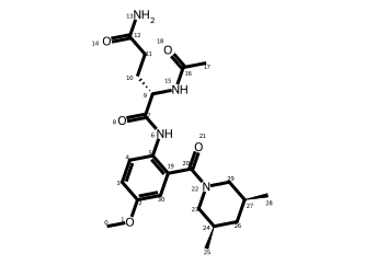 COc1ccc(NC(=O)[C@H](CCC(N)=O)NC(C)=O)c(C(=O)N2C[C@H](C)C[C@H](C)C2)c1